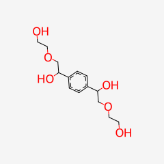 OCCOCC(O)c1ccc(C(O)COCCO)cc1